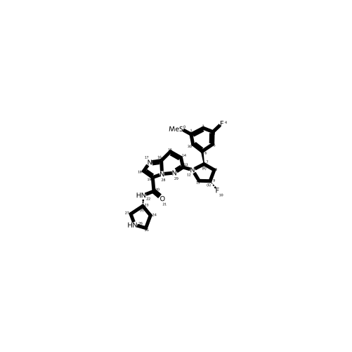 CSc1cc(F)cc([C@H]2C[C@H](F)CN2c2ccc3ncc(C(=O)N[C@@H]4CCNC4)n3n2)c1